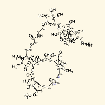 COc1cc2cc(c1Cl)N(C)C(=O)CC(OC(=O)C(C)N(C)C(=O)CCSCC(=O)NCCOC1OC(COC3(C(=O)O)CC(O)C4(NC(C)=O)C(O3)C4(O)C(O)CN=[N+]=[N-])C(O)C(O)C1O)C1(C)OC1C(C)C1CC(O)(NC(=O)O1)C(OC)/C=C/C=C(\C)C2